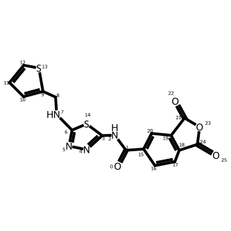 O=C(Nc1nnc(NCc2cccs2)s1)c1ccc2c(c1)C(=O)OC2=O